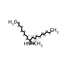 CCCCCCCCCC1(CCCCCCCCC)NN1C